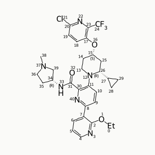 CCOc1ncccc1-c1ccc(N2CC[C@H](Oc3ccc(Cl)nc3C(F)(F)F)C[C@@H]2C2CC2)c(C(=O)N[C@@H]2CCN(C)C2)n1